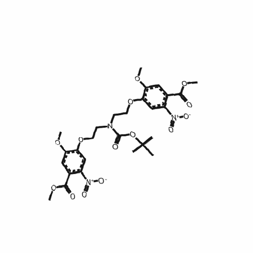 COC(=O)c1cc(OC)c(OCCN(CCOc2cc([N+](=O)[O-])c(C(=O)OC)cc2OC)C(=O)OC(C)(C)C)cc1[N+](=O)[O-]